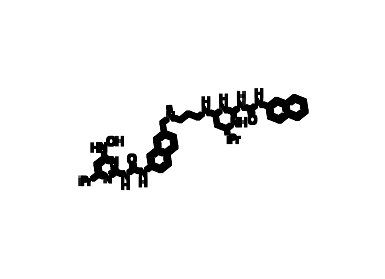 CC(C)c1cc(NO)nc(NC(=O)Nc2ccc3ccc(CN(C)CCCNC4CC(C(C)C)NC(NC(=O)Nc5ccc6ccccc6c5)N4)cc3c2)n1